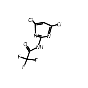 O=C(Nc1nc(Cl)cc(Cl)n1)C(F)(F)F